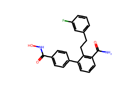 NC(=O)c1cccc(-c2ccc(C(=O)NO)cc2)c1CCc1cccc(F)c1